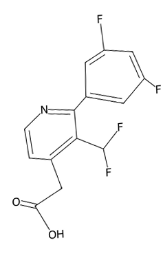 O=C(O)Cc1ccnc(-c2cc(F)cc(F)c2)c1C(F)F